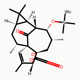 CC1=C[C@]23C(=O)[C@@H]([C@H](O[Si](C)(C)C(C)(C)C)[C@H](C)C[C@@]24OC(=O)O[C@@H]14)[C@H]1[C@@H](C[C@H]3C)C1(C)C